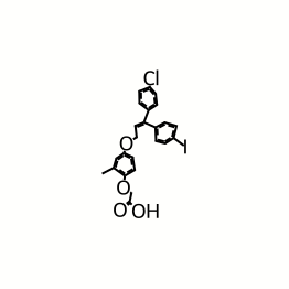 Cc1cc(OC/C=C(/c2ccc(Cl)cc2)c2ccc(I)cc2)ccc1OCC(=O)O